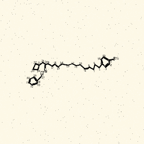 Fc1ccc(CCCCCCCCCCCCCCC(CC2CCC2)=NOCc2ccccc2)cc1